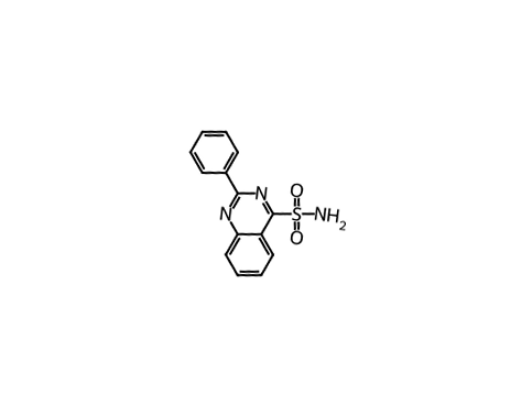 NS(=O)(=O)c1nc(-c2ccccc2)nc2ccccc12